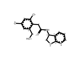 O=C(Cc1c(Cl)cc(Cl)cc1CO)NC1COc2ncccc21